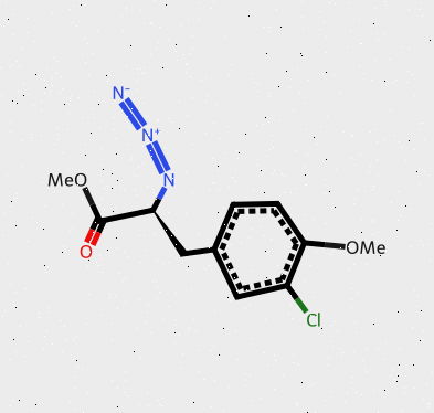 COC(=O)[C@H](Cc1ccc(OC)c(Cl)c1)N=[N+]=[N-]